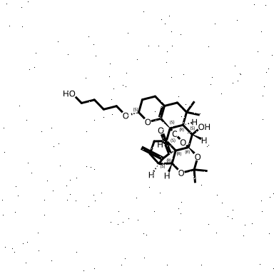 C=C1C(=O)[C@@]23[C@@H]4OC(C)(C)O[C@]25OC[C@]2(C6=C(CC[C@@H](OCCCCO)O6)CC(C)(C)[C@H]2[C@@H]5O)[C@@H]3CC[C@@H]14